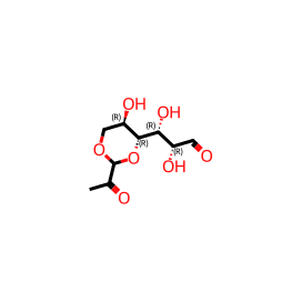 CC(=O)C1OC[C@@H](O)[C@H]([C@H](O)[C@@H](O)C=O)O1